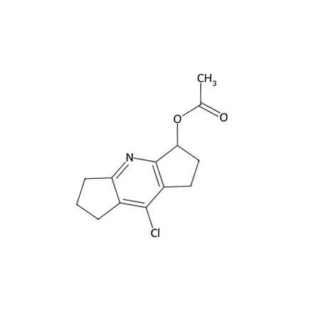 CC(=O)OC1CCc2c1nc1c(c2Cl)CCC1